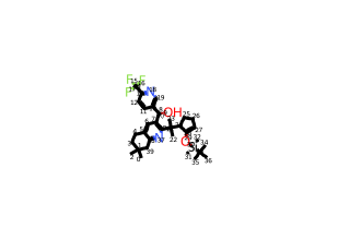 CC1(C)CCc2cc([C@H](O)c3ccc(C(F)(F)F)nc3)c(C(C)(C)C3CCC=C3O[Si](C)(C)C(C)(C)C)nc2C1